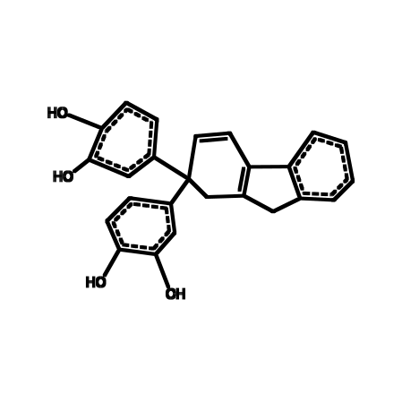 Oc1ccc(C2(c3ccc(O)c(O)c3)C=CC3=C(Cc4ccccc43)C2)cc1O